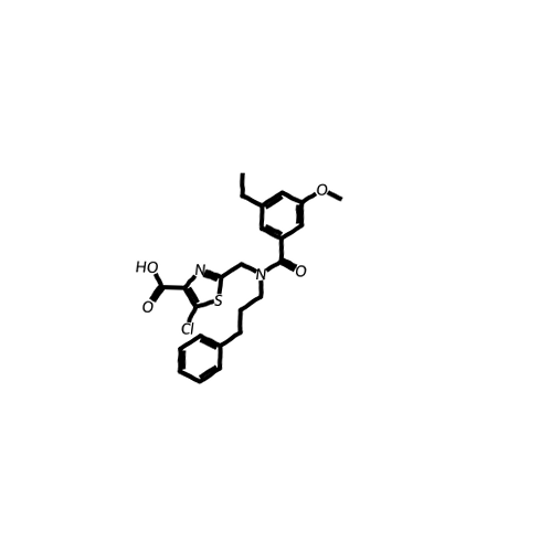 CCc1cc(OC)cc(C(=O)N(CCCc2ccccc2)Cc2nc(C(=O)O)c(Cl)s2)c1